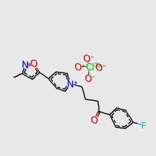 Cc1cc(-c2cc[n+](CCCC(=O)c3ccc(F)cc3)cc2)on1.[O-][Cl+3]([O-])([O-])[O-]